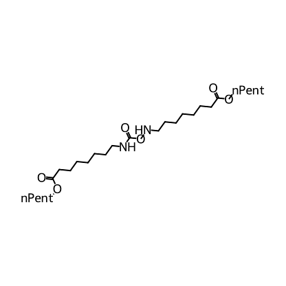 CCCCCOC(=O)CCCCCCCNOC(=O)NCCCCCCCC(=O)OCCCCC